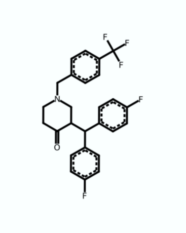 O=C1CCN(Cc2ccc(C(F)(F)F)cc2)CC1C(c1ccc(F)cc1)c1ccc(F)cc1